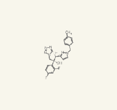 Cc1ccc(Cn2ccc([C@H](C)[C@](O)(Cn3cnnn3)c3ccc(F)cc3F)n2)cc1